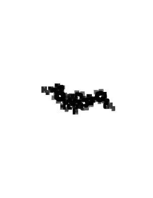 COc1cc(-n2cc(Cl)c(N3CCO[C@H]([C@@](C)(O)C(=O)Nc4ccc5c(N)noc5c4)C3=O)n2)ccn1